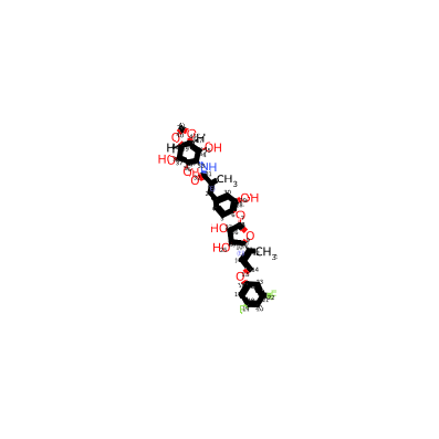 C/C(=C\c1ccc(O[C@@H]2O[C@H](/C(C)=C/COc3cc(F)cc(F)c3)[C@@H](O)[C@@H]2O)c(O)c1)C(=O)N[C@@H]1[C@H](O)[C@@H](O)[C@H]2OCO[C@H]2[C@@H]1O